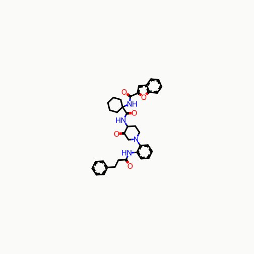 O=C(CCc1ccccc1)Nc1ccccc1N1CCC(NC(=O)C2(NC(=O)c3cc4ccccc4o3)CCCCC2)C(=O)C1